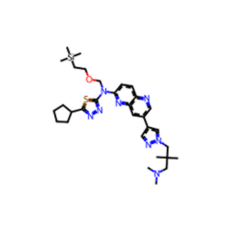 CN(C)CC(C)(C)Cn1cc(-c2cnc3ccc(N(COCC[Si](C)(C)C)c4nnc(C5CCCC5)s4)nc3c2)cn1